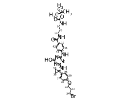 CC(C)(C)OC(=O)NCCCNC(=O)c1ccc(Nc2nc(O)nc(NC3(c4ccc(OCCCBr)cc4)CC3)n2)cc1